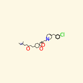 C/C=C(\C)CCC(=O)CCC1CCC2(CC1)C[C@H](CCN1CCC=C(Cc3cccc(Cl)c3)CC1)OC2=O